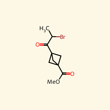 COC(=O)C12CC(C(=O)C(C)Br)(C1)C2